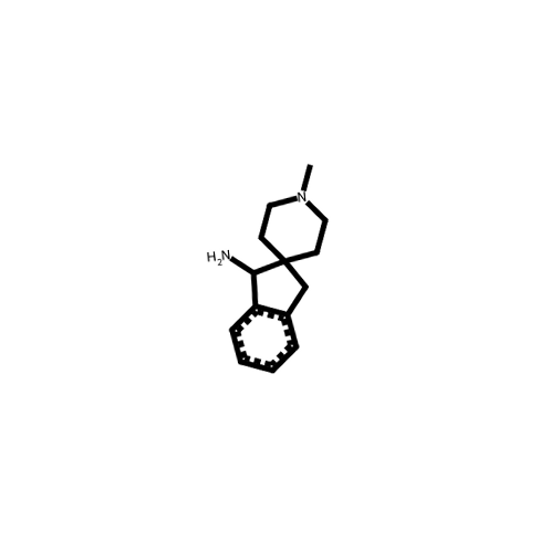 CN1CCC2(CC1)Cc1ccccc1C2N